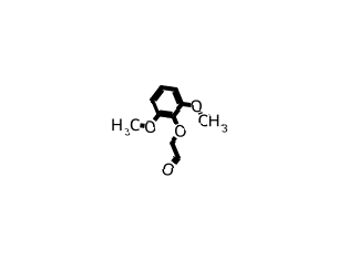 COc1cccc(OC)c1OCC=O